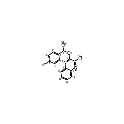 Fc1ccc(C(Oc2nc3ccccc3nc2Cl)C(F)(F)F)cc1